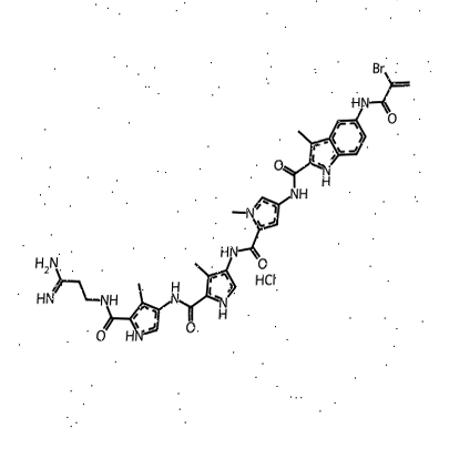 C=C(Br)C(=O)Nc1ccc2[nH]c(C(=O)Nc3cc(C(=O)Nc4c[nH]c(C(=O)Nc5c[nH]c(C(=O)NCCC(=N)N)c5C)c4C)n(C)c3)c(C)c2c1.Cl